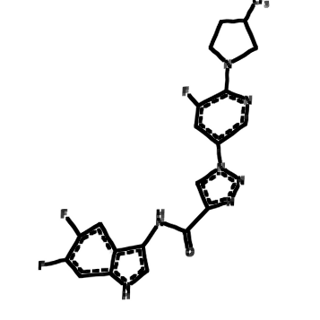 O=C(Nc1c[nH]c2cc(F)c(F)cc12)c1cn(-c2cnc(N3CCC(C(F)(F)F)C3)c(F)c2)nn1